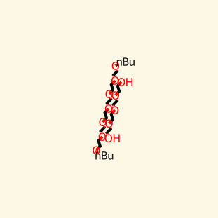 CCCCOCCOCCOCCOCCOCCOCCOCCCC.OCCOCCOCCOCCO